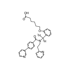 [2H]C([2H])(c1ccccc1OCCCCCC(=O)O)N(CCc1ccccn1)C(=O)c1ccc(-c2cccnc2)cc1